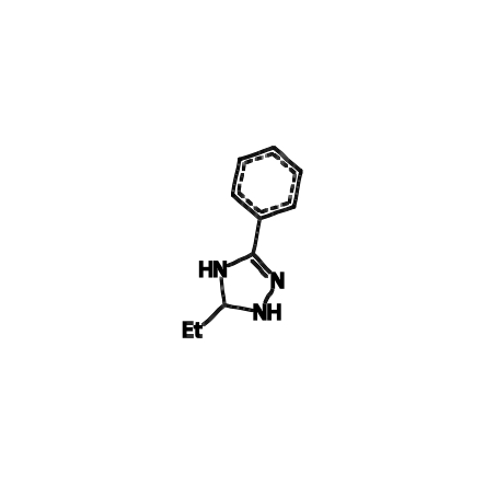 CCC1NN=C(c2ccccc2)N1